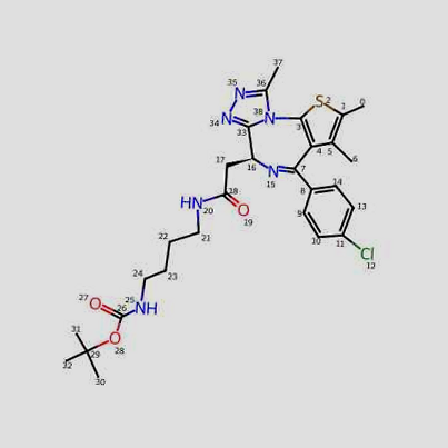 Cc1sc2c(c1C)C(c1ccc(Cl)cc1)=N[C@@H](CC(=O)NCCCCNC(=O)OC(C)(C)C)c1nnc(C)n1-2